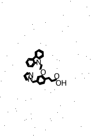 O=C(O)CCc1ccc(Cn2cccn2)cc1OCCn1c2ccccc2c2ccccc21